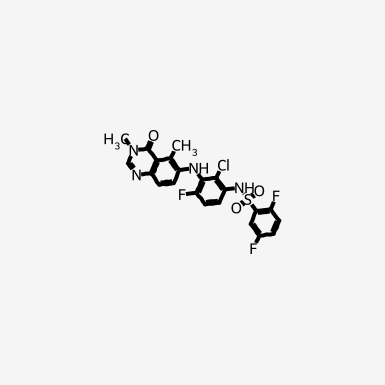 Cc1c(Nc2c(F)ccc(NS(=O)(=O)c3cc(F)ccc3F)c2Cl)ccc2ncn(C)c(=O)c12